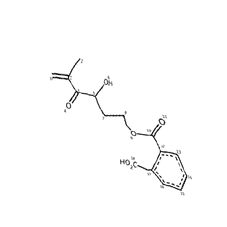 C=C(C)C(=O)C(O)CCOC(=O)c1ccccc1C(=O)O